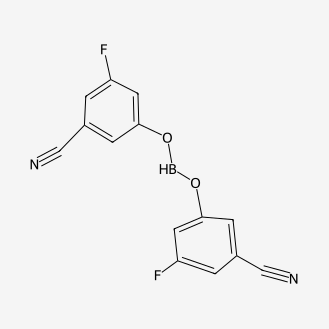 N#Cc1cc(F)cc(OBOc2cc(F)cc(C#N)c2)c1